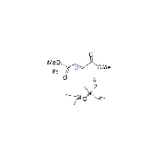 C=C[Si](C)(C=C)O[Si](C)(C)C.COC(=O)/C=C/C(=O)OC.[Pt]